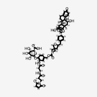 C[C@]12C=CC(=O)C=C1CC[C@@H]1[C@@H]2[C@@H](O)C[C@@]2(C)[C@H]1C[C@H]1O[C@@H](c3ccc(CC4CC5(CO4)CN(C(=O)OCc4ccc(O[C@@H]6O[C@H](C(=O)O)[C@@H](O)[C@H](O)[C@H]6O)c(NC(=O)CCNC(=O)CCN6C(=O)C=CC6=O)c4)C5)cc3)O[C@]12C(=O)CO